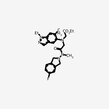 CCOC(=O)CN(CC(=O)N(C)N1Cc2ccc(F)cc2C1)c1cc2cnn(CC)c2cc1C